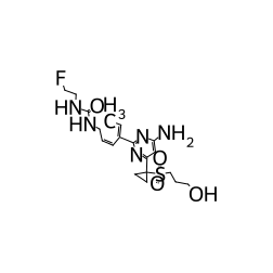 C/C=C(\C=C/CNC(=O)NCCF)c1nc(N)cc(C2(S(=O)(=O)CCCO)CC2)n1